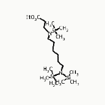 CCOC(=O)CCN(CCCCCCN([Si](C)(C)C)[Si](C)(C)C)[Si](C)(C)C